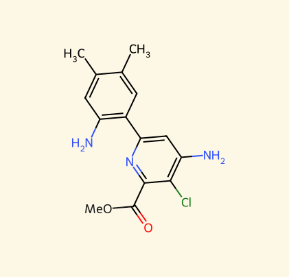 COC(=O)c1nc(-c2cc(C)c(C)cc2N)cc(N)c1Cl